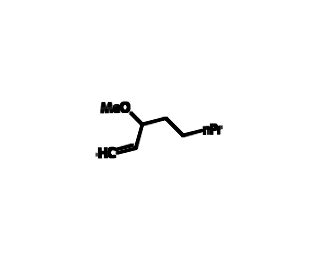 [CH]=CC(CCCCC)OC